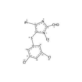 CCn1c(C=O)nc(C(C)C)c1Sc1cc(Cl)cc(Cl)c1